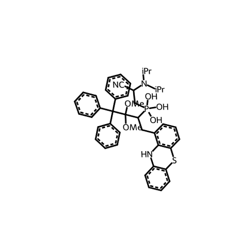 COC(OC)(C(Cc1cccc2c1Nc1ccccc1S2)P(O)(O)(O)CC(C#N)N(C(C)C)C(C)C)C(c1ccccc1)(c1ccccc1)c1ccccc1